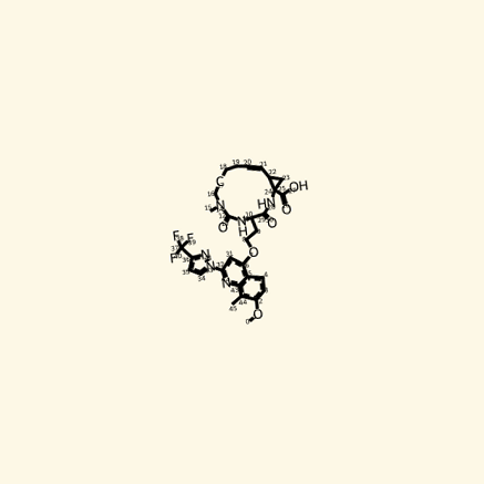 COc1ccc2c(OCCC3NC(=O)N(C)CCCCC=CC4CC4(C(=O)O)NC3=O)cc(-n3ccc(C(F)(F)F)n3)nc2c1C